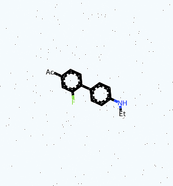 CCNc1ccc(-c2ccc(C(C)=O)cc2F)cc1